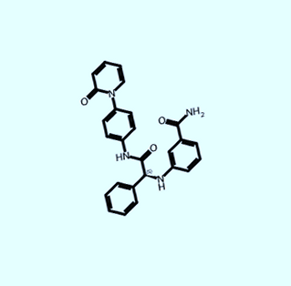 NC(=O)c1cccc(N[C@H](C(=O)Nc2ccc(-n3ccccc3=O)cc2)c2ccccc2)c1